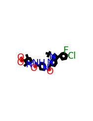 COC(=O)c1c(C)cc(NC(=O)C2CCN(C(=O)c3ccc4c(-c5ccc(Cl)c(F)c5)cn(C(C)(C)C)c4n3)CC2)nc1C